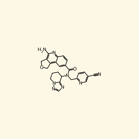 N#Cc1ccc(CN(C(=O)c2ccc3nc(N)c4c(c3c2)COC4)C2CCCn3ncnc32)nc1